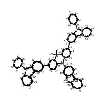 CC1(C)c2cc(-c3ccc4c(c3)c3ccccc3n4-c3ccccc3)ccc2N(c2ccc3c(c2)oc2ccccc23)c2ccc(-c3ccc4c(c3)c3ccccc3n4-c3ccccc3)cc21